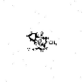 CCn1c(OC)nnc1[C@@H](C)NS(=O)(=O)c1ccccc1OC